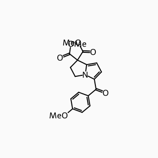 COC(=O)C1(C(=O)OC)CCn2c(C(=O)c3ccc(OC)cc3)ccc21